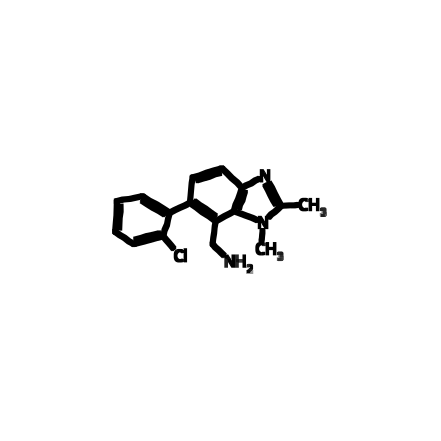 Cc1nc2ccc(-c3ccccc3Cl)c(CN)c2n1C